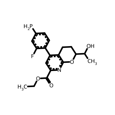 CCOC(=O)c1cc(-c2ccc(P)cc2F)c2c(n1)OC(C(C)O)CC2